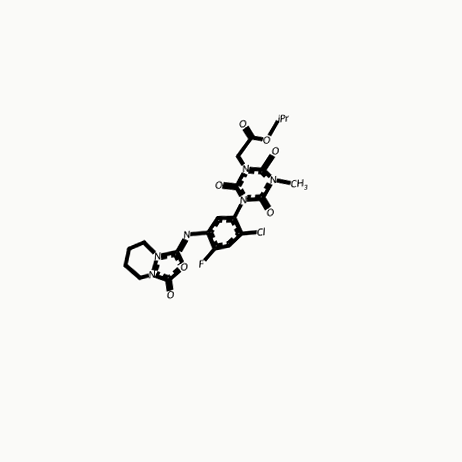 CC(C)OC(=O)Cn1c(=O)n(C)c(=O)n(-c2cc(N=c3oc(=O)n4n3CCCC4)c(F)cc2Cl)c1=O